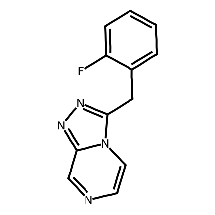 Fc1ccccc1Cc1nnc2cnccn12